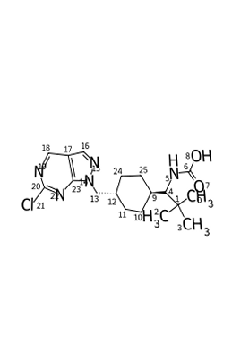 CC(C)(C)C(NC(=O)O)[C@H]1CC[C@H](Cn2ncc3cnc(Cl)nc32)CC1